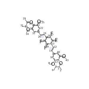 CCC(C)Oc1c(OC)cc(/C=C/c2c(F)c(F)c(/C=C/c3cc(OC)c(OC(C)CC)c(OC)c3)c(F)c2F)cc1OC